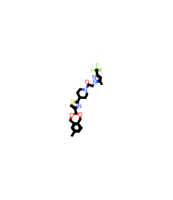 Cc1ccc2c(c1)COC(c1csc(C3CCN(C(=O)Cn4nc(C(F)(F)F)cc4C)CC3)n1)OC2